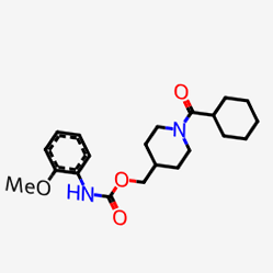 COc1ccccc1NC(=O)OCC1CCN(C(=O)C2CCCCC2)CC1